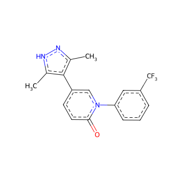 Cc1n[nH]c(C)c1-c1ccc(=O)n(-c2cccc(C(F)(F)F)c2)c1